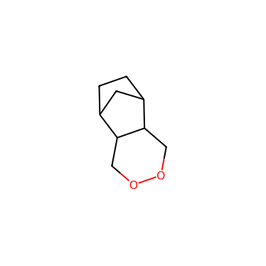 C1CC2CC1C1COOCC21